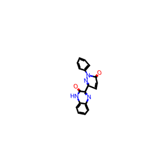 O=c1[nH]c2ccccc2nc1-c1ccc(=O)n(-c2ccccc2)n1